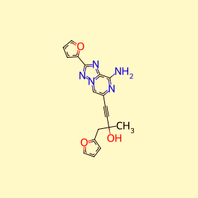 CC(O)(C#Cc1cn2nc(-c3ccco3)nc2c(N)n1)Cc1ccco1